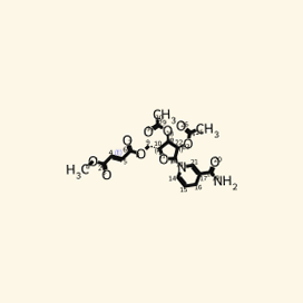 COC(=O)/C=C/C(=O)OC[C@H]1O[C@@H](N2C=CCC(C(N)=O)=C2)[C@H](OC(C)=O)[C@@H]1OC(C)=O